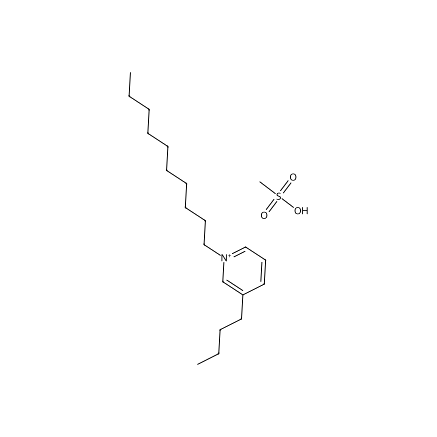 CCCCCCCCCC[n+]1cccc(CCCC)c1.CS(=O)(=O)O